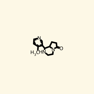 Cc1ccncc1C1NCCN2C(=O)CCC12